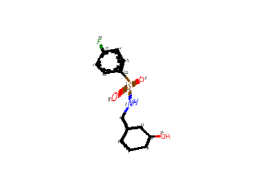 O=S(=O)(NCC1CCCC(O)C1)c1ccc(F)cc1